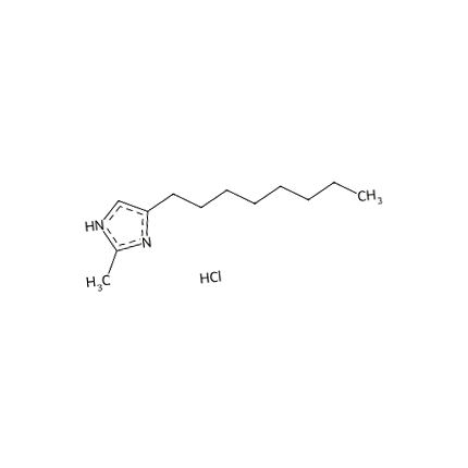 CCCCCCCCc1c[nH]c(C)n1.Cl